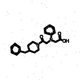 O=C(O)CN(CC(=O)N1CCC(Cc2ccccc2)CC1)c1ccccc1